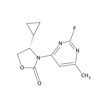 Cc1cc(N2C(=O)OC[C@@H]2C2CC2)nc(F)n1